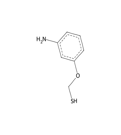 Nc1cccc(OCS)c1